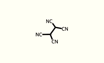 N#C[C](C#N)C(C#N)C#N